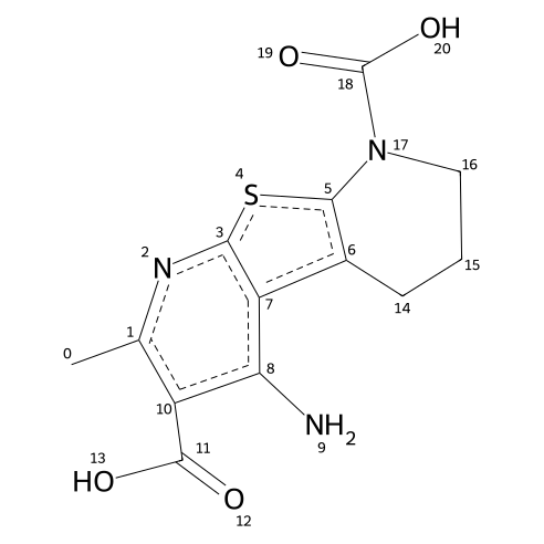 Cc1nc2sc3c(c2c(N)c1C(=O)O)CCCN3C(=O)O